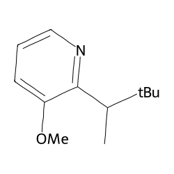 COc1cccnc1C(C)C(C)(C)C